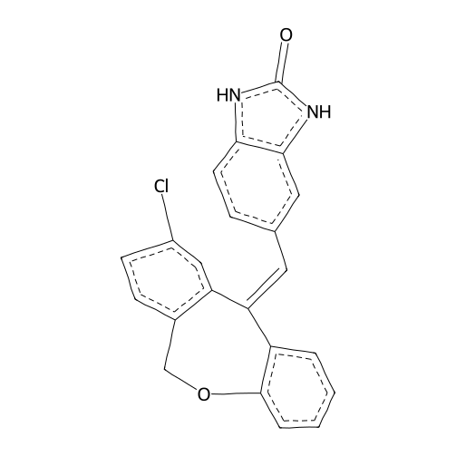 O=c1[nH]c2ccc(/C=C3\c4cc(Cl)ccc4COc4ccccc43)cc2[nH]1